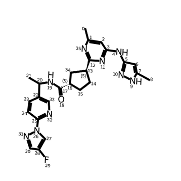 Cc1cc(Nc2cc(C)[nH]n2)nc([C@H]2CC[C@H](C(=O)NC(C)c3ccc(-n4cc(F)cn4)nc3)C2)n1